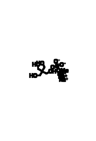 CO[Si]([O-])([O-])[O-].OCC(CO)(CO)CO.[Na+].[Na+].[Na+]